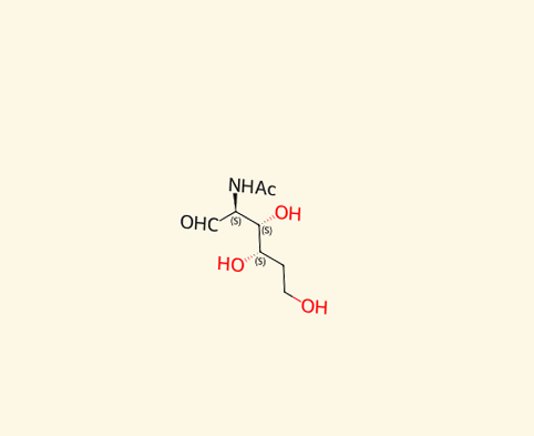 CC(=O)N[C@H](C=O)[C@H](O)[C@@H](O)CCO